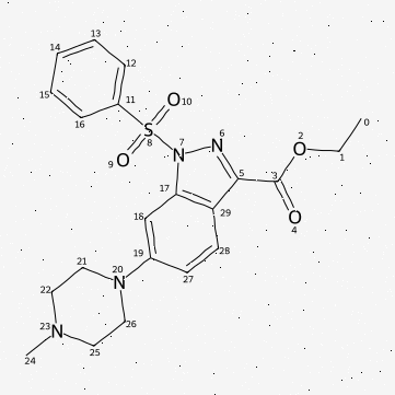 CCOC(=O)c1nn(S(=O)(=O)c2ccccc2)c2cc(N3CCN(C)CC3)ccc12